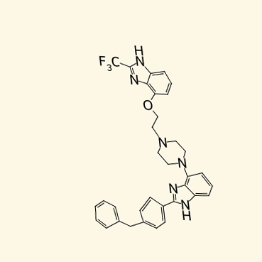 FC(F)(F)c1nc2c(OCCN3CCN(c4cccc5[nH]c(-c6ccc(Cc7ccccc7)cc6)nc45)CC3)cccc2[nH]1